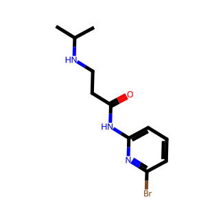 CC(C)NCCC(=O)Nc1cccc(Br)n1